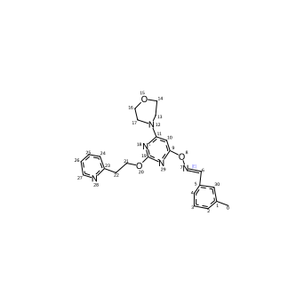 Cc1cccc(/C=N/Oc2cc(N3CCOCC3)nc(OCCc3ccccn3)n2)c1